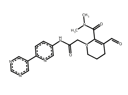 CN(C)C(=O)C1=C(C=O)CCCN1CC(=O)Nc1ccc(-c2cncnc2)nc1